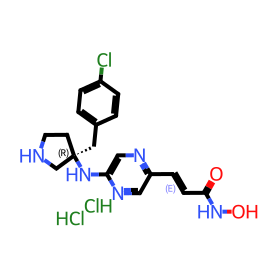 Cl.Cl.O=C(/C=C/c1cnc(N[C@]2(Cc3ccc(Cl)cc3)CCNC2)cn1)NO